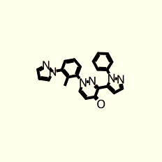 Cc1c(-n2cccn2)cccc1-n1ccc(=O)c(-c2ccnn2-c2ccccc2)n1